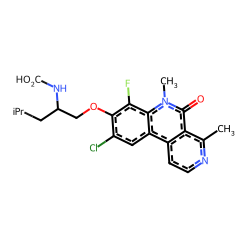 Cc1nccc2c1c(=O)n(C)c1c(F)c(OCC(CC(C)C)NC(=O)O)c(Cl)cc21